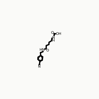 N#Cc1ccc(CCNC(=O)CCCCCNC(=O)O)cc1